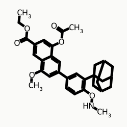 CCOC(=O)c1cc(OC(C)=O)c2cc(-c3ccc(ONC)c(C45CC6CC(CC(C6)C4)C5)c3)cc(OC)c2c1